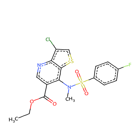 CCOC(=O)c1cnc2c(Cl)csc2c1N(C)S(=O)(=O)c1ccc(F)cc1